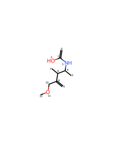 C=C(O)NC(C)C(C)C(=C)COC